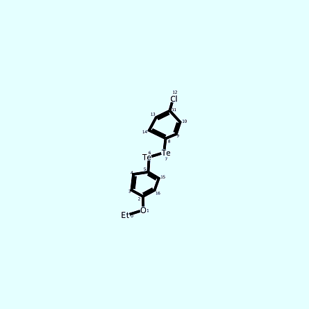 CCOc1ccc([Te][Te]c2ccc(Cl)cc2)cc1